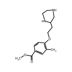 COC(=O)c1ccc(OCCC2CNCCN2)c(C)c1